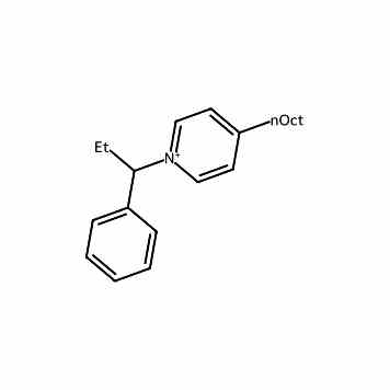 CCCCCCCCc1cc[n+](C(CC)c2ccccc2)cc1